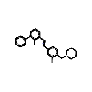 Cc1cc(/C=C/c2cccc(-c3ccccc3)c2C)ccc1CN1CCCCC1